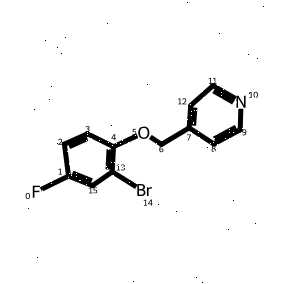 Fc1ccc(OCc2ccncc2)c(Br)c1